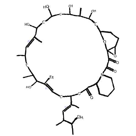 CC/C1=C\CC(/C(C)=C/C(C)C(C)O)OC(=O)C2CCCCN2C(=O)C(=O)C23OC(CCC2O3)CC(O)C(C)C(O)CC(O)CC(O)/C(C)=C/C(C)CC(C)C1O